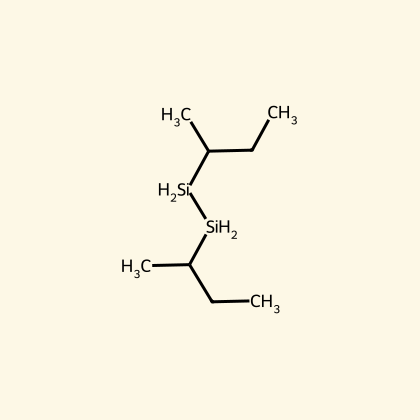 CCC(C)[SiH2][SiH2]C(C)CC